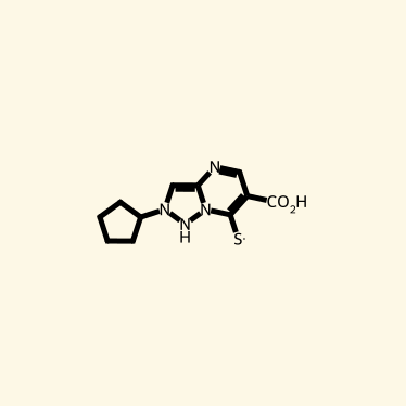 O=C(O)C1=C([S])N2NN(C3CCCC3)C=C2N=C1